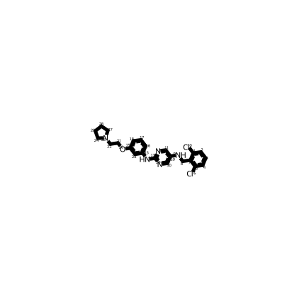 Clc1cccc(Cl)c1CNc1cnc(Nc2cccc(OCCN3CCCC3)c2)nc1